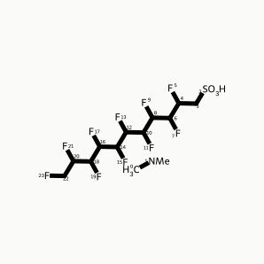 CNC.O=S(=O)(O)CC(F)C(F)C(F)C(F)C(F)C(F)C(F)C(F)C(F)CF